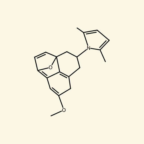 COC1=CC2=C3C=CC4(CC(n5c(C)ccc5C)CC(=C24)C1)O3